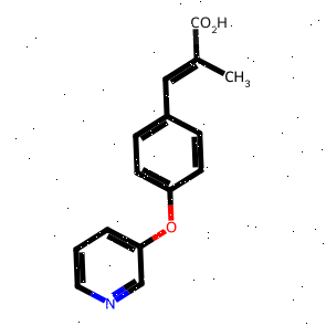 CC(=Cc1ccc(Oc2cccnc2)cc1)C(=O)O